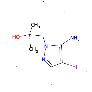 CC(C)(O)Cn1ncc(I)c1N